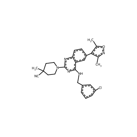 Cc1noc(C)c1-c1ccc2nc(N3CCC(C)(C#N)CC3)nc(NCc3cccc(Cl)c3)c2c1